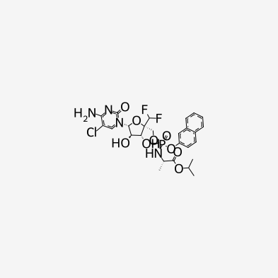 CC(C)OC(=O)[C@H](C)NP(=O)(OC[C@@]1(C(F)F)O[C@@H](n2cc(Cl)c(N)nc2=O)[C@H](O)[C@H]1O)Oc1ccc2ccccc2c1